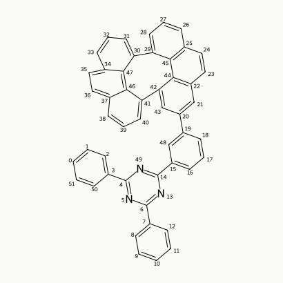 c1ccc(-c2nc(-c3ccccc3)nc(-c3cccc(-c4cc5ccc6cccc7c8cccc9ccc%10cccc(c(c4)c5c67)c%10c98)c3)n2)cc1